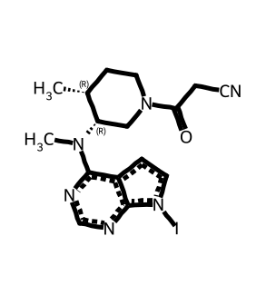 C[C@@H]1CCN(C(=O)CC#N)C[C@@H]1N(C)c1ncnc2c1ccn2I